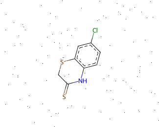 S=C1CSc2cc(Cl)ccc2N1